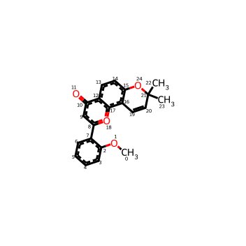 COc1ccccc1-c1cc(=O)c2ccc3c(c2o1)C=CC(C)(C)O3